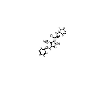 CC1C(COc2ccccc2)ONC1C(=O)NCC1CCOC1